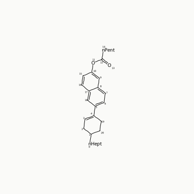 CCCCCCCC1CC=C(c2ccc3cc(OC(=O)CCCCC)ccc3c2)CC1